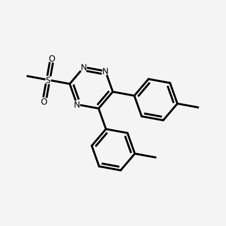 Cc1ccc(-c2nnc(S(C)(=O)=O)nc2-c2cccc(C)c2)cc1